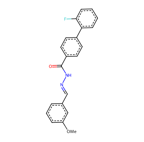 COc1cccc(/C=N/NC(=O)c2ccc(-c3ccccc3F)cc2)c1